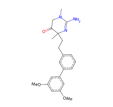 COc1cc(OC)cc(-c2cccc(CCC3(C)N=C(N)N(C)CC3=O)c2)c1